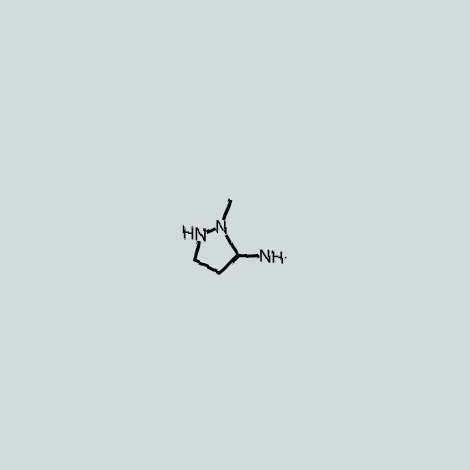 CN1NCCC1[NH]